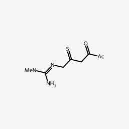 CNC(N)=NCC(=S)CC(=O)C(C)=O